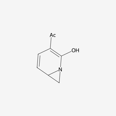 CC(=O)C1=C(O)N2CC2C=C1